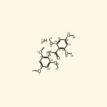 COc1cc(OC)c(PC(=O)c2c(OC)cc(OC)cc2OC)c(OC)c1.[LiH]